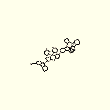 N#Cc1ccc2c(c1)c1ccccc1n2-c1ccc2c(c1)Oc1ccc(-c3ccc4c(c3)c3ccccc3n4-c3ccccc3-n3c4ccccc4c4ccccc43)cc1C21c2cccnc2-c2ncccc21